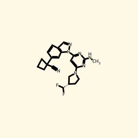 CNc1nc(N2CC[C@H](C(F)F)C2)cc(-n2ncc3ccc(C4(C#N)CCC4)cc32)n1